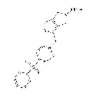 O=C(O)N1Cc2cnn(Cc3ccc(S(=O)(=O)c4ccccc4)cn3)c2C1